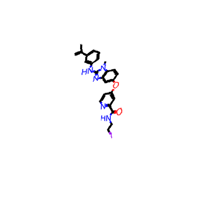 C=C(C)c1cccc(Nc2nc3cc(Oc4ccnc(C(=O)NCCI)c4)ccc3n2C)c1